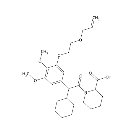 C=CCOCCOc1cc(C(C(=O)N2CCCCC2C(=O)O)C2CCCCC2)cc(OC)c1OC